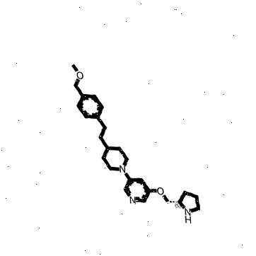 COCc1ccc(CCC2CCN(c3cncc(OC[C@@H]4CCCN4)c3)CC2)cc1